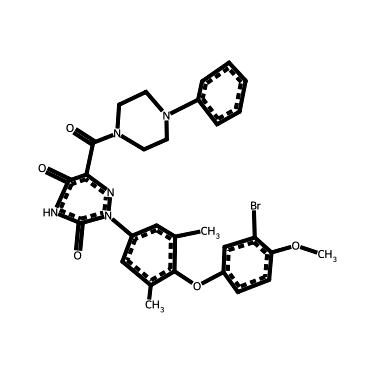 COc1ccc(Oc2c(C)cc(-n3nc(C(=O)N4CCN(c5ccccc5)CC4)c(=O)[nH]c3=O)cc2C)cc1Br